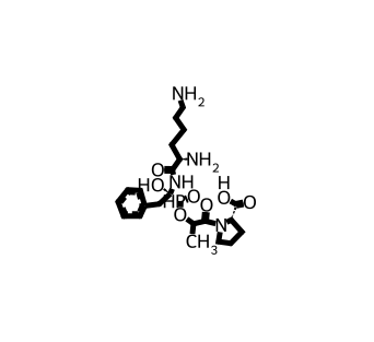 CC(O[PH](=O)[C@@](O)(Cc1ccccc1)NC(=O)[C@@H](N)CCCCN)C(=O)N1CCC[C@H]1C(=O)O